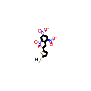 Cc1ccc(C=Cc2c([N+](=O)[O-])cc([N+](=O)[O-])cc2[N+](=O)[O-])s1